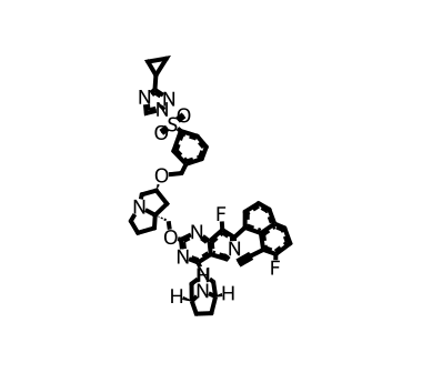 C#Cc1c(F)ccc2cccc(-c3ncc4c(N5C[C@H]6CC[C@@H](C5)N6)nc(OC[C@]56CCCN5C[C@H](OCc5cccc(S(=O)(=O)n7cnc(C8CC8)n7)c5)C6)nc4c3F)c12